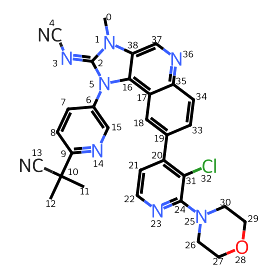 Cn1c(=NC#N)n(-c2ccc(C(C)(C)C#N)nc2)c2c3cc(-c4ccnc(N5CCOCC5)c4Cl)ccc3ncc21